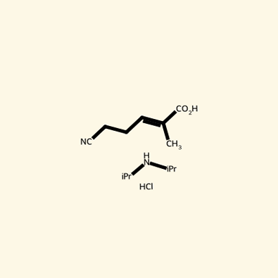 CC(=CCCC#N)C(=O)O.CC(C)NC(C)C.Cl